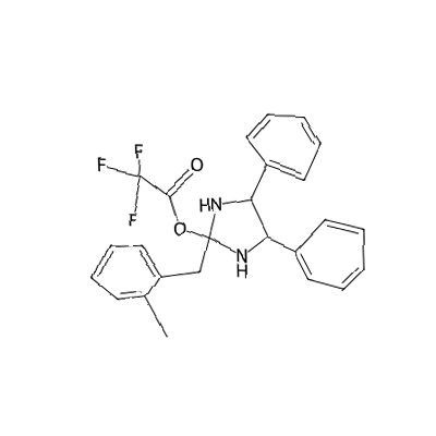 Cc1ccccc1CC1(OC(=O)C(F)(F)F)NC(c2ccccc2)C(c2ccccc2)N1